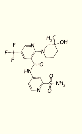 CC1(O)CCCN(c2ncc(C(F)(F)F)cc2C(=O)Nc2ccnc(S(N)(=O)=O)c2)C1